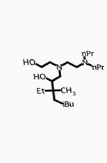 CCCN(CCC)CCN(CCO)CC(O)C(C)(CC)CC(C)CC